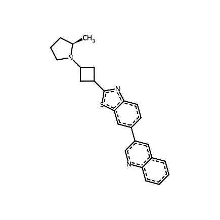 C[C@@H]1CCCN1C1CC(c2nc3ccc(-c4cnc5ccccc5c4)cc3s2)C1